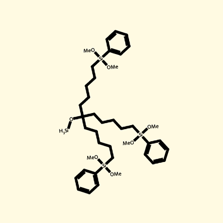 CO[Si](CCCCCC(CCCCC[Si](OC)(OC)c1ccccc1)(CCCCC[Si](OC)(OC)c1ccccc1)O[SiH3])(OC)c1ccccc1